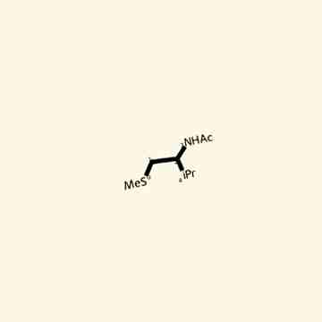 CSCC(NC(C)=O)C(C)C